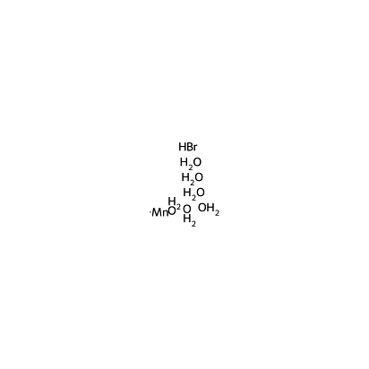 Br.O.O.O.O.O.O.[Mn]